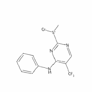 C[S+]([O-])c1ncc(C(F)(F)F)c(Nc2ccccc2)n1